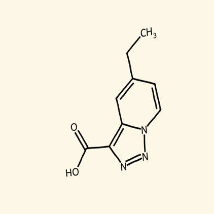 CCc1ccn2nnc(C(=O)O)c2c1